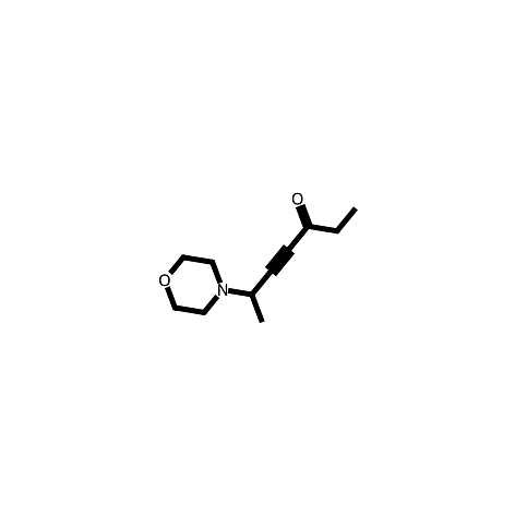 CCC(=O)C#CC(C)N1CCOCC1